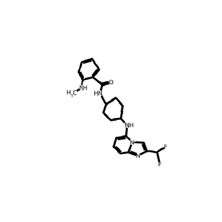 CNc1ccccc1C(=O)NC1CCC(Nc2cccc3nc(C(F)F)cn23)CC1